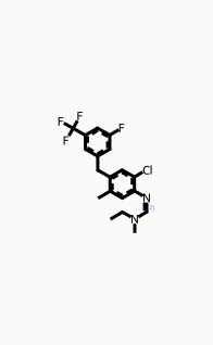 CCN(C)/C=N\c1cc(C)c(Cc2cc(F)cc(C(F)(F)F)c2)cc1Cl